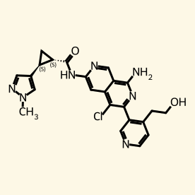 Cn1cc([C@H]2C[C@@H]2C(=O)Nc2cc3c(Cl)c(-c4cnccc4CCO)nc(N)c3cn2)cn1